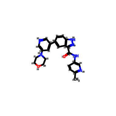 Cc1ccc(NC(=O)c2n[nH]c3ccc(-c4cncc(N5CCOCC5)c4)cc23)cn1